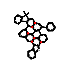 CC1(C)c2ccccc2-c2c(-c3ccccc3N(c3ccc4sc5ccccc5c4c3)c3cccc(-c4ccccc4)c3-c3ccccc3-c3ccccc3)cccc21